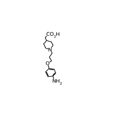 Nc1ccc(OCCCN2CCC(CC(=O)O)CC2)cc1